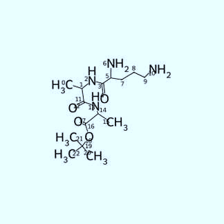 CC(NC(=O)C(N)CCCN)C(=O)NC(C)C(=O)OC(C)(C)C